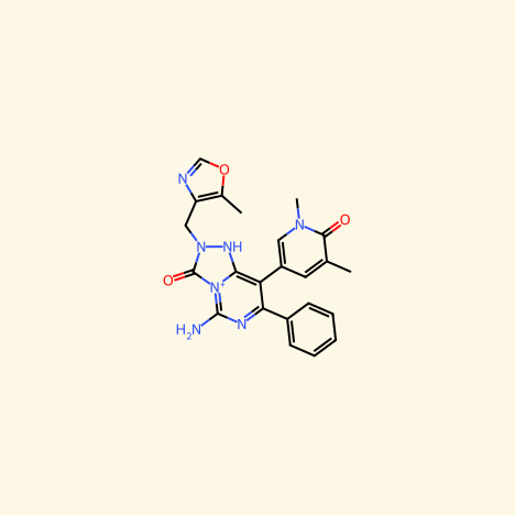 Cc1ocnc1Cn1[nH]c2c(-c3cc(C)c(=O)n(C)c3)c(-c3ccccc3)nc(N)[n+]2c1=O